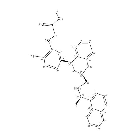 COC(=O)COc1cc([C@@H]2C[C@H](CN[C@H](C)c3cccc4ccccc34)Oc3ccccc32)ccc1F